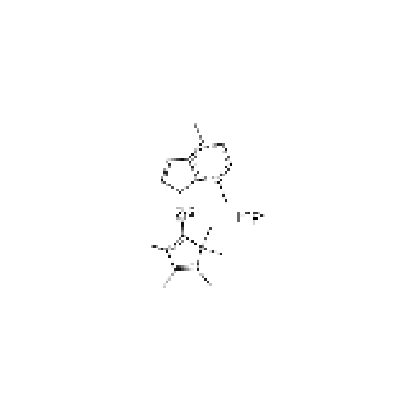 CC1=C(C)C(C)(C)[C]([Zr+2][CH]2C=Cc3c(C)ccc(C)c32)=C1C.[F-].[F-]